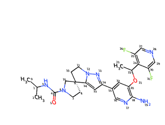 CC(C)NC(=O)N1CC[C@@]2(CCn3nc(-c4cnc(N)c(OC(C)c5c(F)cncc5F)c4)cc32)C1